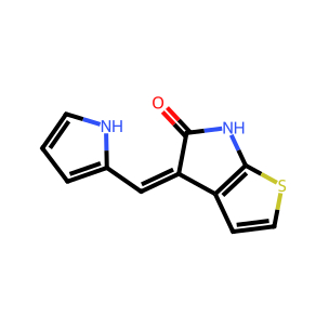 O=C1Nc2sccc2C1=Cc1ccc[nH]1